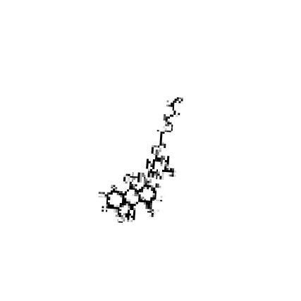 CCCCOCCOc1nc(F)nc(Nc2ccc(Br)c3c2C(=O)c2cccc4snc-3c24)n1